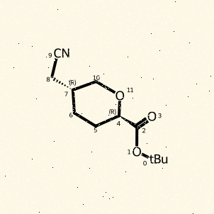 CC(C)(C)OC(=O)[C@H]1CC[C@H](CC#N)CO1